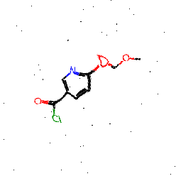 COCOc1ccc(C(=O)Cl)cn1